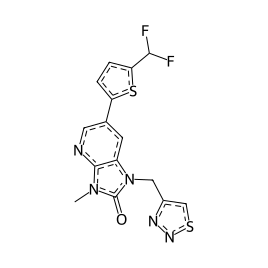 Cn1c(=O)n(Cc2csnn2)c2cc(-c3ccc(C(F)F)s3)cnc21